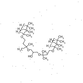 CC(C)(CCOC(C)(C)[Si](C)(C)C(C)(C)C)OCC(O)COC(C)(C)CCOC(C)(C)[Si](C)(C)C(C)(C)C